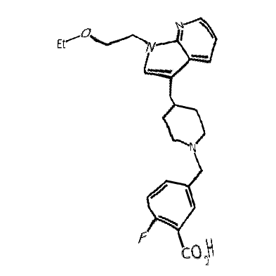 CCOCCn1cc(C2CCN(Cc3ccc(F)c(C(=O)O)c3)CC2)c2cccnc21